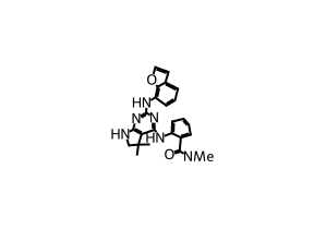 CNC(=O)c1ccccc1Nc1nc(Nc2cccc3ccoc23)nc2c1C(C)(C)CN2